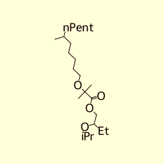 CCCCCC(C)CCCCCOC(C)(C)C(=O)OCC(CC)OC(C)C